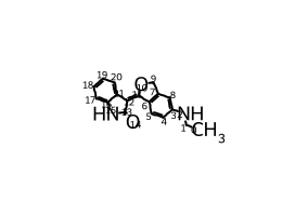 CCNc1ccc2c(c1)COC2=C1C(=O)Nc2ccccc21